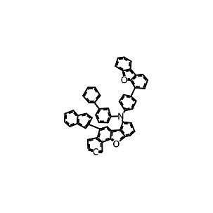 c1ccc(-c2cccc(N(c3ccc(-c4cccc5c4oc4ccccc45)cc3)c3cccc4oc5c6ccccc6c(-c6ccc7ccccc7c6)cc5c34)c2)cc1